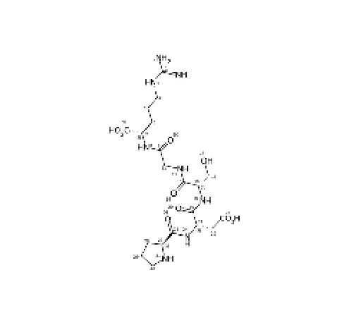 N=C(N)NCCC[C@H](NC(=O)CNC(=O)[C@H](CO)NC(=O)[C@H](CC(=O)O)NC(=O)[C@@H]1CCCN1)C(=O)O